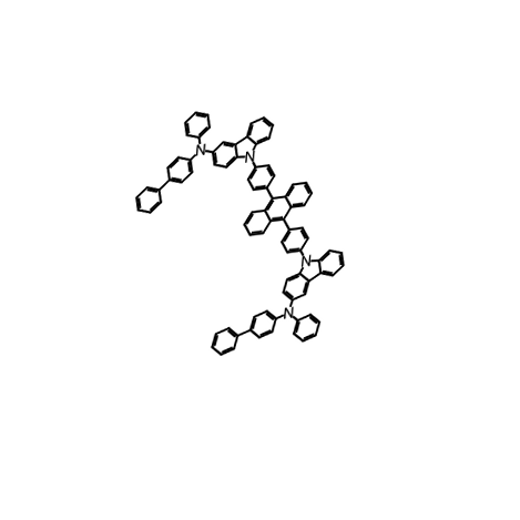 c1ccc(-c2ccc(N(c3ccccc3)c3ccc4c(c3)c3ccccc3n4-c3ccc(-c4c5ccccc5c(-c5ccc(-n6c7ccccc7c7cc(N(c8ccccc8)c8ccc(-c9ccccc9)cc8)ccc76)cc5)c5ccccc45)cc3)cc2)cc1